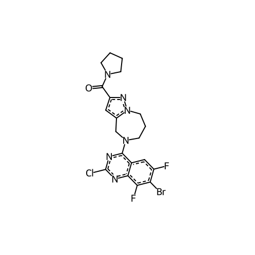 O=C(c1cc2n(n1)CCCN(c1nc(Cl)nc3c(F)c(Br)c(F)cc13)C2)N1CCCC1